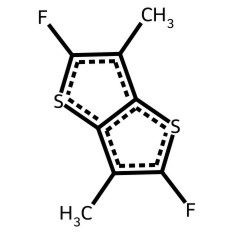 Cc1c(F)sc2c(C)c(F)sc12